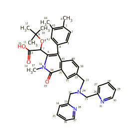 Cc1ccc(-c2c(C(OC(C)(C)C)C(=O)O)n(C)c(=O)c3cc(CN(Cc4ccccn4)Cc4ccccn4)ccc23)cc1C